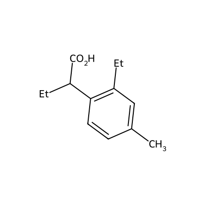 CCc1cc(C)ccc1C(CC)C(=O)O